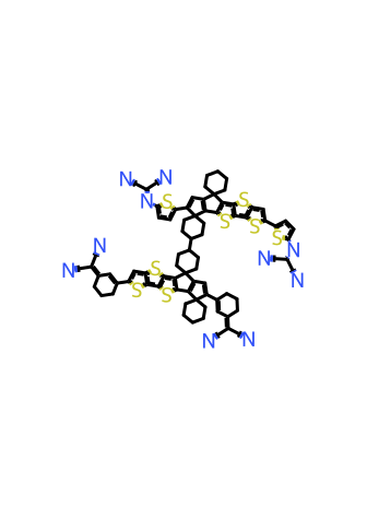 N#CC(C#N)=Nc1ccc(C2=CC3=C(c4sc5c(sc6cc(-c7ccc(N=C(C#N)C#N)s7)sc65)c4C34CCCCC4)C23CCC(C2CCC4(CC2)C2=C(c5sc6c(sc7cc(C8=CC(=C(C#N)C#N)CCC8)sc76)c54)C4(CCCCC4)C(C4=CC(=C(C#N)C#N)CCC4)=C2)CC3)s1